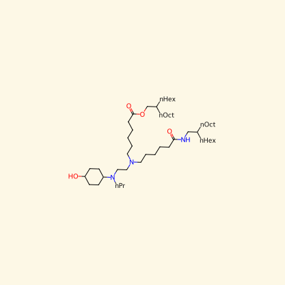 CCCCCCCCC(CCCCCC)CNC(=O)CCCCCN(CCCCCC(=O)OCC(CCCCCC)CCCCCCCC)CCN(CCC)C1CCC(O)CC1